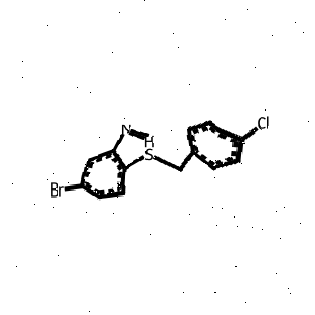 Clc1ccc(C[SH]2C=Nc3cc(Br)ccc32)cc1